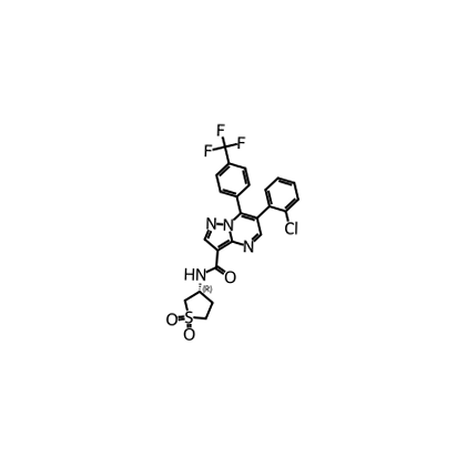 O=C(N[C@@H]1CCS(=O)(=O)C1)c1cnn2c(-c3ccc(C(F)(F)F)cc3)c(-c3ccccc3Cl)cnc12